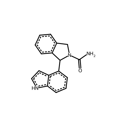 NC(=O)N1Cc2ccccc2C1c1cccc2[nH]ccc12